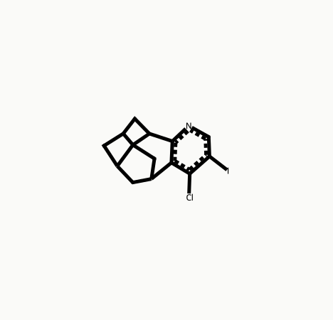 Clc1c(I)cnc2c1C1CC3CC4CC2C34C1